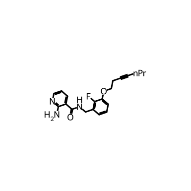 CCCC#CCCOc1cccc(CNC(=O)c2cccnc2N)c1F